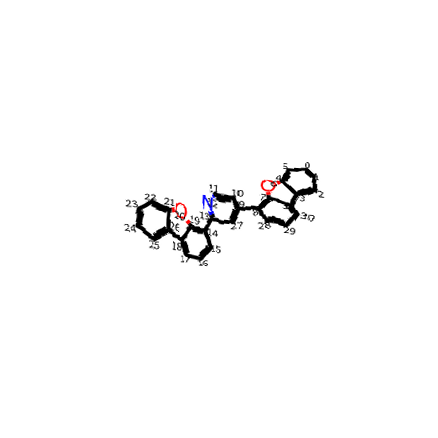 c1ccc2c(c1)oc1c(-c3ccnc(-c4cccc5c4oc4ccccc45)c3)cccc12